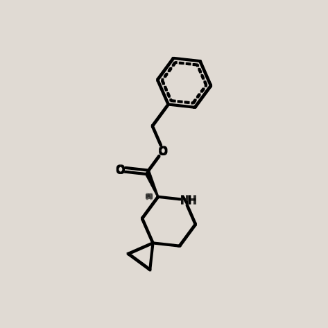 O=C(OCc1ccccc1)[C@@H]1CC2(CCN1)CC2